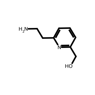 NCCc1cccc(CO)n1